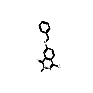 Cn1nc(Cl)c2ccc(SCc3ccccc3)cc2c1=O